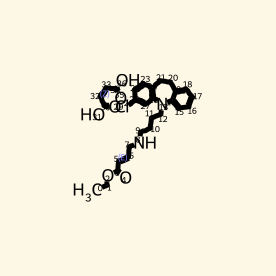 CCOC(=O)/C=C/CNCCCCN1c2ccccc2CCc2ccc(Cl)cc21.O=C(O)/C=C\C(=O)O